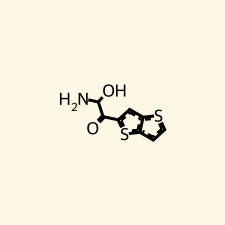 NC(O)C(=O)c1cc2sccc2s1